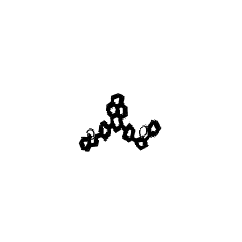 c1ccc2oc(-c3ccc(-c4cc(-c5ccc(-c6cccc7c6oc6ccccc67)cc5)c5ccc6cccc7ccc4c5c76)cc3)cc2c1